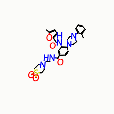 Cc1ccc(C(=O)Nc2cc(C(=O)NCCN3CCS(=O)(=O)CC3)ccc2N2CCN(c3ccccc3C)CC2)o1